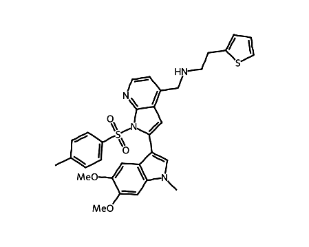 COc1cc2c(-c3cc4c(CNCCc5cccs5)ccnc4n3S(=O)(=O)c3ccc(C)cc3)cn(C)c2cc1OC